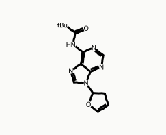 CC(C)(C)C(=O)Nc1ncnc2c1ncn2C1CC=CO1